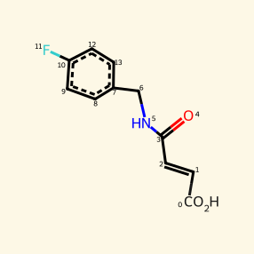 O=C(O)C=CC(=O)NCc1ccc(F)cc1